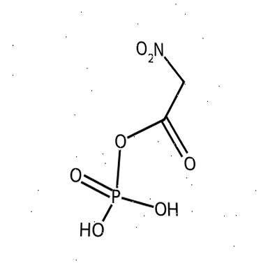 O=C(C[N+](=O)[O-])OP(=O)(O)O